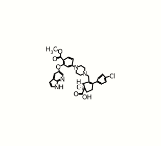 COC(=O)c1ccc(N2CCN(CC3=C(c4ccc(Cl)cc4)CC[C@@](C)(C(=O)O)C3)CC2)cc1Oc1cnc2[nH]ccc2c1